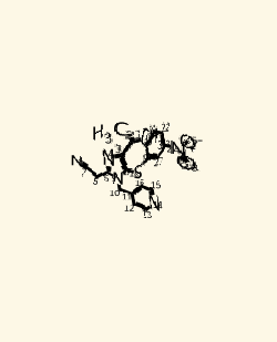 CC(C)c1nc(CC#N)n(Cc2ccncc2)c1Sc1cccc([N+](=O)[O-])c1